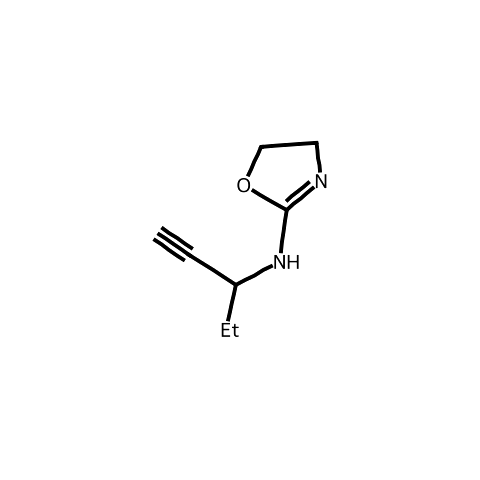 C#CC(CC)NC1=NCCO1